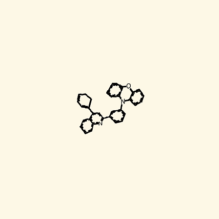 C1=CCCC(c2cc(-c3cccc(N4c5ccccc5Oc5ccccc54)c3)nc3ccccc23)=C1